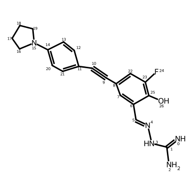 N=C(N)N/N=C/c1cc(C#Cc2ccc(N3CCCC3)cc2)cc(F)c1O